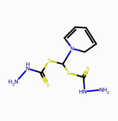 NNC(=S)SC(SC(=S)NN)N1C=CC=CC1